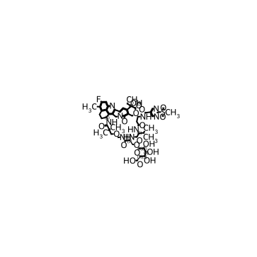 CC[C@@]1(O)C(=O)OCc2c1cc1n(c2=O)Cc2c-1nc1cc(F)c(C)c3c1c2[C@@H](NC(=O)C(C)(C)COCNC(=O)[C@H](CO[C@@H]1O[C@H](C(=O)O)[C@@H](O)[C@H](O)[C@H]1O)NC(=O)[C@@H](NC(=O)CCNC(=O)c1cnc(S(C)(=O)=O)nc1)C(C)C)CC3